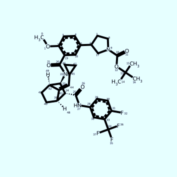 COc1ccc(C2CCN(C(=O)OC(C)(C)C)C2)cc1C(=O)N[C@H]1[C@H](C(=O)Nc2ccc(F)c(C(F)(F)F)c2)[C@H]2CC[C@@H]1/C2=C\C1CC1